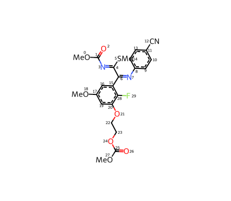 COC(=O)/N=C(\SC)C(=Nc1ccc(C#N)cc1)c1cc(OC)cc(OCCOC(=O)OC)c1F